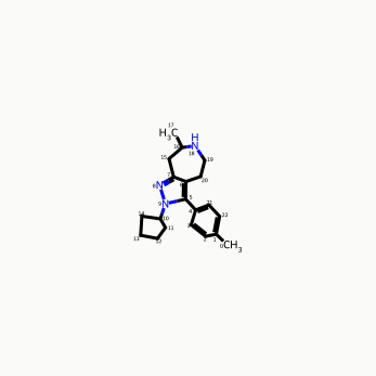 Cc1ccc(-c2c3c(nn2C2CCCC2)CC(C)NCC3)cc1